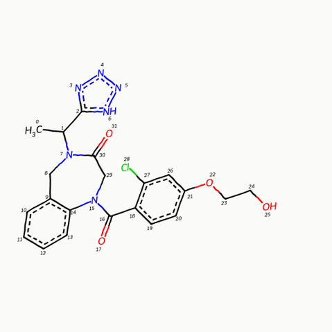 CC(c1nnn[nH]1)N1Cc2ccccc2N(C(=O)c2ccc(OCCO)cc2Cl)CC1=O